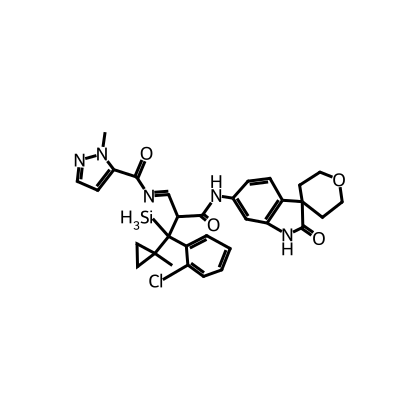 Cn1nccc1C(=O)/N=C/C(C(=O)Nc1ccc2c(c1)NC(=O)C21CCOCC1)C([SiH3])(c1ccccc1Cl)C1(C)CC1